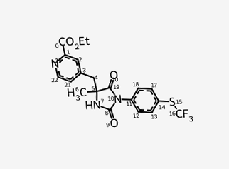 CCOC(=O)c1cc(CC2(C)NC(=O)N(c3ccc(SC(F)(F)F)cc3)C2=O)ccn1